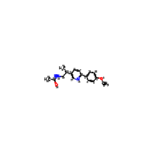 COc1ccc(-c2ccc(C(C)CNC(C)=O)cn2)cc1